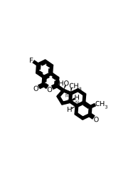 CC1=C2CC[C@@]3(C)[C@@H](CC[C@@]3(O)c3cc4ccc(F)cc4c(=O)o3)[C@@H]2CCC1=O